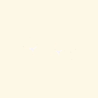 Cc1cccc2c1N(S(=O)(=O)c1ccc(Cl)c([N+](=O)[O-])c1)CCC2